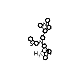 CC1(C)c2ccccc2-c2cccc(-c3ccc(N(c4ccc(-c5cccc(-c6ccccc6-n6c7ccccc7c7ccccc76)c5)cc4)c4ccc5sc6ccccc6c5c4)cc3)c21